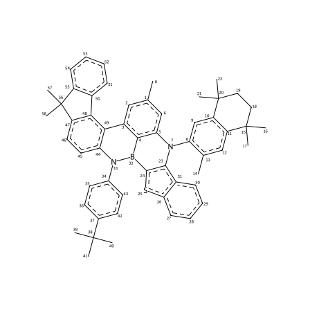 Cc1cc2c3c(c1)N(c1cc4c(cc1C)C(C)(C)CCC4(C)C)c1c(sc4ccccc14)B3N(c1ccc(C(C)(C)C)cc1)c1ccc3c(c1-2)-c1ccccc1C3(C)C